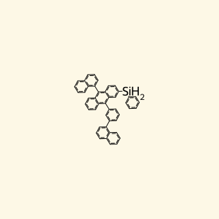 c1ccc([SiH2]c2ccc3c(-c4cccc5ccccc45)c4ccccc4c(-c4cccc(-c5cccc6ccccc56)c4)c3c2)cc1